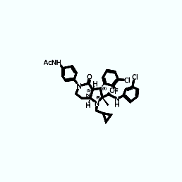 CC(=O)Nc1ccc(N2CC[C@H]3[C@@H](C2=O)[C@H](c2cccc(Cl)c2F)[C@](C)(C(=O)Nc2cccc(Cl)c2)N3CC2CC2)cc1